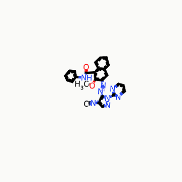 [C-]#[N+]c1cnn(-c2ncccn2)c1/N=N/c1cc2ccccc2c(C(=O)Nc2ccccc2)c1OC